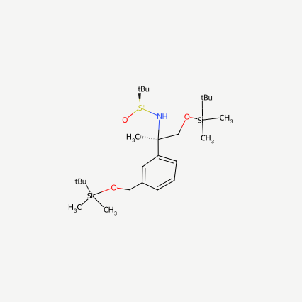 CC(C)(C)[S@+]([O-])N[C@@](C)(CO[Si](C)(C)C(C)(C)C)c1cccc(CO[Si](C)(C)C(C)(C)C)c1